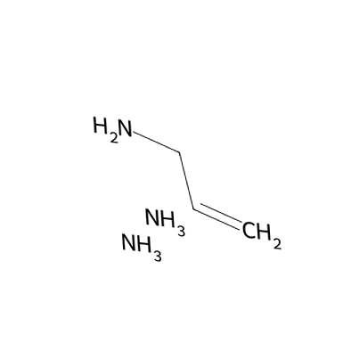 C=CCN.N.N